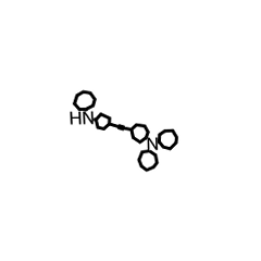 C(#CC1CCCC(N(C2CCCCCCC2)C2CCCCCCC2)CC1)C1CCC(NC2CCCCCCC2)CC1